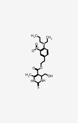 CCCN(CC)c1ccc(CCOC(=O)C2=C(C)NC(=S)NC2CO)cc1[N+](=O)[O-]